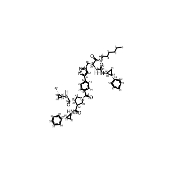 CCCCCCNC(=O)[C@H](Cn1cc(-c2ccc(C(=O)N3CC(C(=O)N[C@H]4C[C@@H]4c4ccccc4)[C@H](C(=O)N[C@H]4C[C@@H]4C)C3)cc2)nn1)NC(=O)N[C@H]1C[C@@H]1c1ccccc1